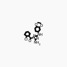 Nc1nc(Nc2ccc3c(c2)OCCO3)nn1C(=O)c1ccccc1Cl